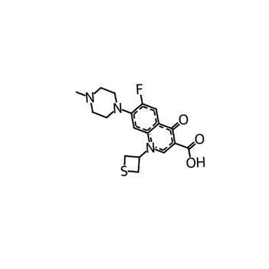 CN1CCN(c2cc3c(cc2F)c(=O)c(C(=O)O)cn3C2CSC2)CC1